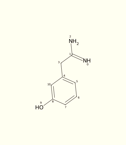 N=C(N)Cc1cccc(O)c1